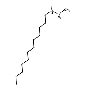 CCCCCCCCCCCC[SiH](C)[SiH2][SiH3]